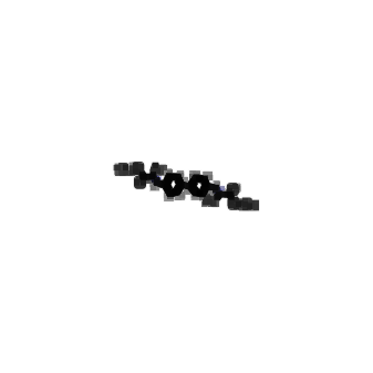 CC(=O)/C(=C\c1ccc(-c2ccc(/C=C(\C(C)=O)C(=O)OC(C)(C)C)cc2)cc1)C(=O)OC(C)(C)C